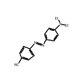 CCN(CC)c1ccc(N=Nc2ccc(C#N)cc2)cc1